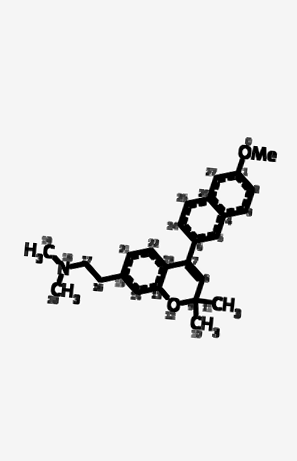 COc1ccc2cc(C3=CC(C)(C)Oc4cc(CCN(C)C)ccc43)ccc2c1